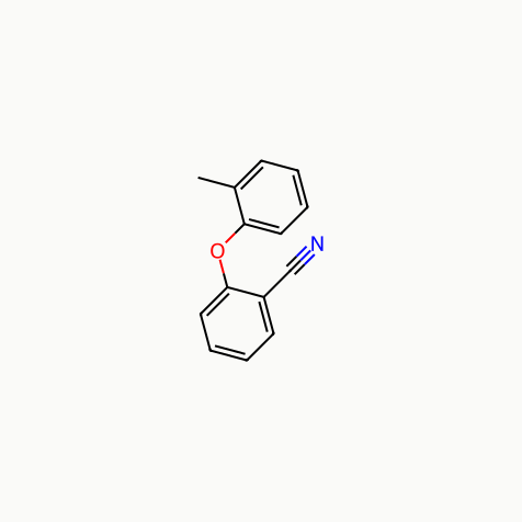 Cc1ccccc1Oc1ccccc1C#N